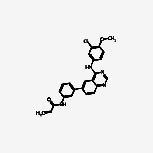 C=CC(=O)Nc1cccc(-c2ccc3ncnc(Nc4ccc(OC)c(Cl)c4)c3c2)c1